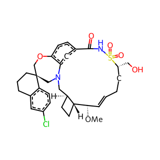 CO[C@H]1/C=C/CC[C@@H](CO)S(=O)(=O)NC(=O)c2ccc3c(c2)N(C[C@@H]2CC[C@H]21)C[C@@]1(CCCc2cc(Cl)ccc21)CO3